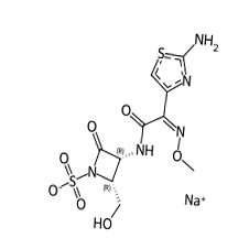 CON=C(C(=O)N[C@H]1C(=O)N(S(=O)(=O)[O-])[C@H]1CO)c1csc(N)n1.[Na+]